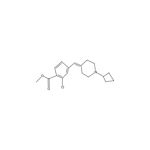 COC(=O)c1ccc(C=C2CCN(C3CCC3)CC2)cc1Cl